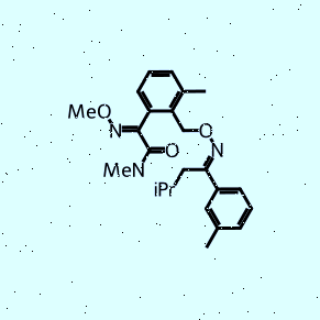 CNC(=O)/C(=N/OC)c1cccc(C)c1CO/N=C(\CC(C)C)c1cccc(C)c1